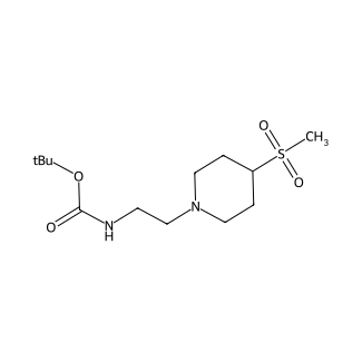 CC(C)(C)OC(=O)NCCN1CCC(S(C)(=O)=O)CC1